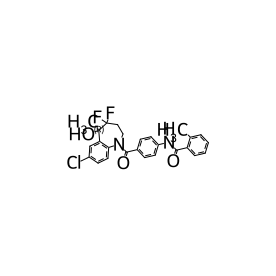 Cc1ccccc1C(=O)Nc1ccc(C(=O)N2CCC(F)(F)[C@](C)(O)c3cc(Cl)ccc32)cc1